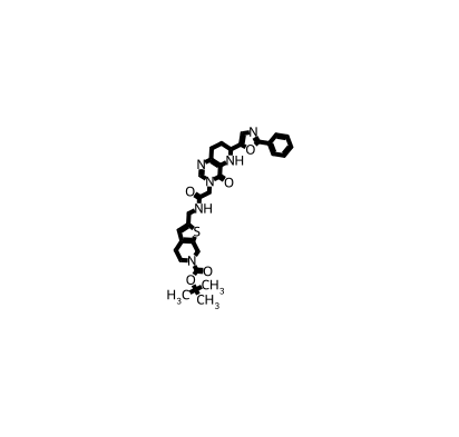 CC(C)(C)OC(=O)N1CCc2cc(CNC(=O)Cn3cnc4c(c3=O)NC(c3cnc(-c5ccccc5)o3)CC4)sc2C1